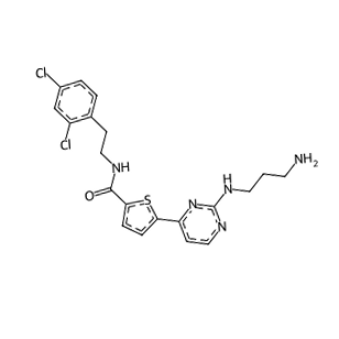 NCCCNc1nccc(-c2ccc(C(=O)NCCc3ccc(Cl)cc3Cl)s2)n1